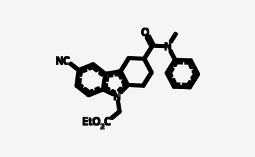 CCOC(=O)Cn1c2c(c3cc(C#N)ccc31)CC(C(=O)N(C)c1ccccc1)CC2